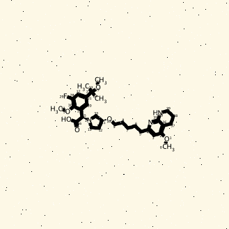 COc1cc(CCCCCO[C@@H]2CCN([C@@H](C(=O)O)c3cc(C(C)(C)OC)cc(F)c3OC)C2)nc2c1CCCN2